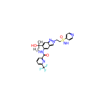 CC(C)(O)c1cc2nn(CCS(=N)(=O)c3ccncc3)cc2cc1NC(=O)c1cccc(C(F)(F)F)n1